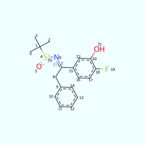 CC(C)(C)[S@@+]([O-])/N=C(\Cc1ccccc1)c1ccc(F)c(O)c1